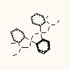 CO[SiH](OC)O[Si](O[Si](O[SiH](OC)OC)(c1ccccc1)c1ccccc1)(c1ccccc1)c1ccccc1